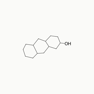 OC1CCC2CC3CCCCC3CC2C1